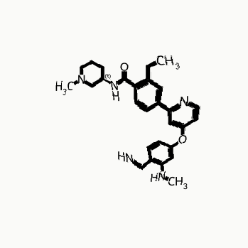 CCc1cc(-c2cc(Oc3ccc(C=N)c(NC)c3)ccn2)ccc1C(=O)N[C@@H]1CCCN(C)C1